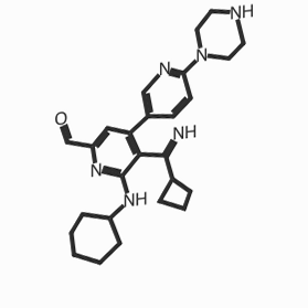 N=C(c1c(-c2ccc(N3CCNCC3)nc2)cc(C=O)nc1NC1CCCCC1)C1CCC1